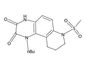 CCCCn1c(=O)c(=O)[nH]c2ccc3c(c21)CCCN3S(C)(=O)=O